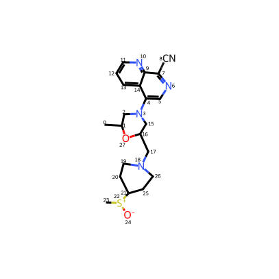 CC1CN(c2cnc(C#N)c3ncccc23)CC(CN2CCC([S+](C)[O-])CC2)O1